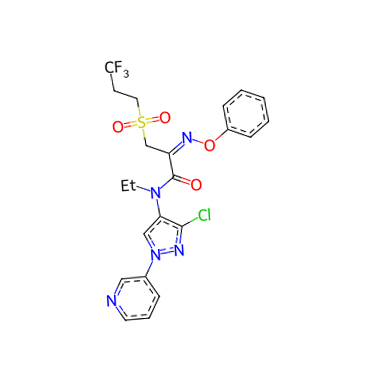 CCN(C(=O)C(CS(=O)(=O)CCC(F)(F)F)=NOc1ccccc1)c1cn(-c2cccnc2)nc1Cl